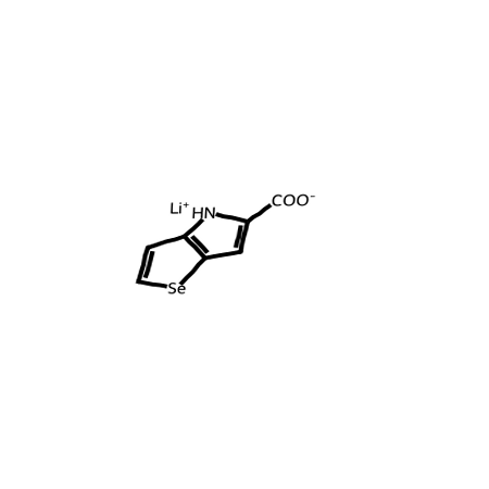 O=C([O-])c1cc2[se]ccc2[nH]1.[Li+]